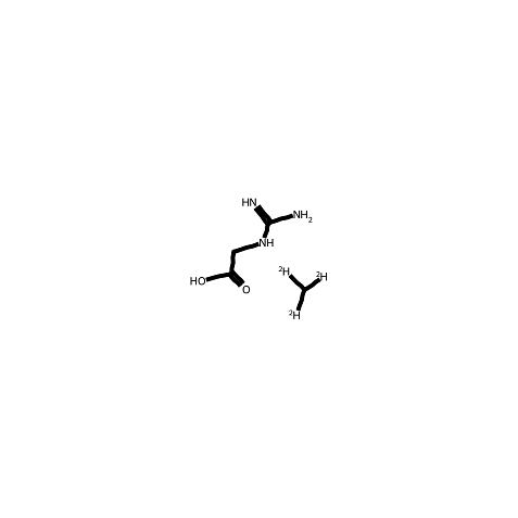 N=C(N)NCC(=O)O.[2H]C([2H])[2H]